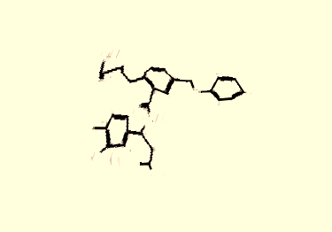 CC(C)CC(NC(=O)c1cc(COc2ccccc2)ccc1CCC(=O)O)c1ccc(Cl)c(F)c1